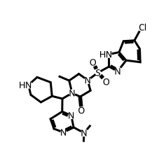 CC1CN(S(=O)(=O)c2nc3ccc(Cl)cc3[nH]2)CC(=O)N1C(c1ccnc(N(C)C)n1)C1CCNCC1